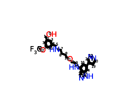 OCc1cc(CNCCCCOCCNc2cc(-c3ccnnc3)cc3[nH]ncc23)cc(OC(F)(F)F)c1